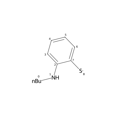 CCCCNc1ccccc1[S]